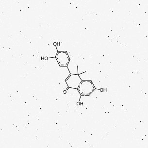 CC1(C)C(c2ccc(O)c(O)c2)=CC(=O)c2c(O)cc(O)cc21